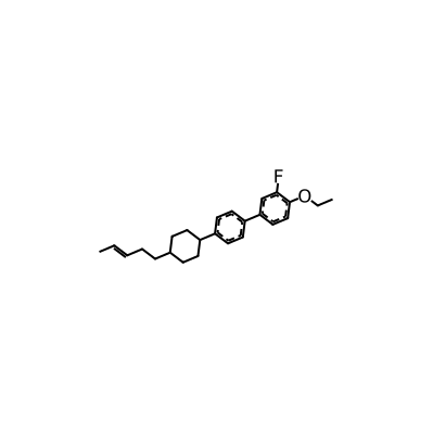 C/C=C/CCC1CCC(c2ccc(-c3ccc(OCC)c(F)c3)cc2)CC1